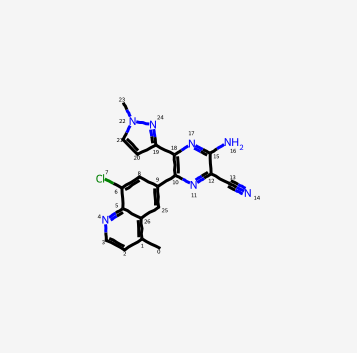 Cc1ccnc2c(Cl)cc(-c3nc(C#N)c(N)nc3-c3ccn(C)n3)cc12